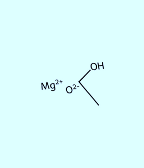 CCO.[Mg+2].[O-2]